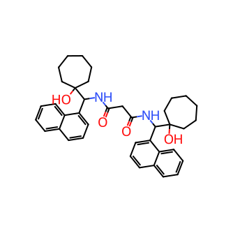 O=C(CC(=O)NC(c1cccc2ccccc12)C1(O)CCCCCC1)NC(c1cccc2ccccc12)C1(O)CCCCCC1